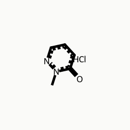 Cl.Cn1ncccc1=O